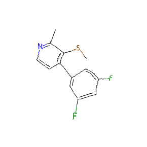 CSc1c(-c2cc(F)cc(F)c2)ccnc1C